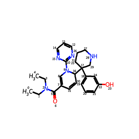 CCN(CC)C(=O)C1=CN(c2ncccn2)C(C2(c3cccc(O)c3)CCCNC2)C=C1